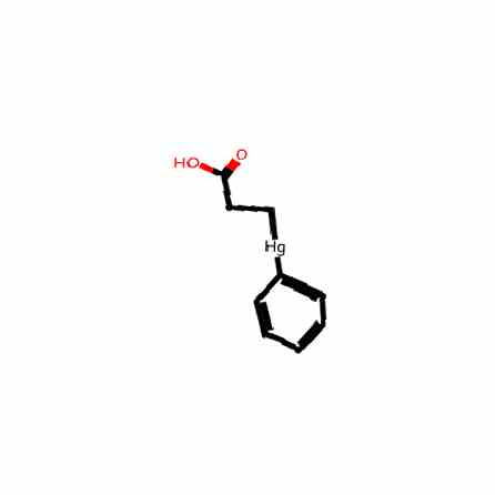 O=C(O)C[CH2][Hg][c]1ccccc1